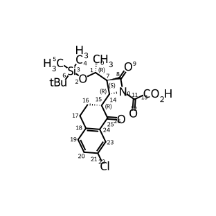 C[C@@H](O[Si](C)(C)C(C)(C)C)[C@H]1C(=O)N(C(=O)C(=O)O)[C@@H]1[C@H]1CCc2ccc(Cl)cc2C1=O